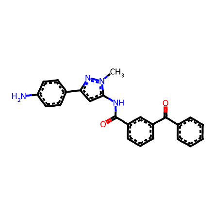 Cn1nc(-c2ccc(N)cc2)cc1NC(=O)c1cccc(C(=O)c2ccccc2)c1